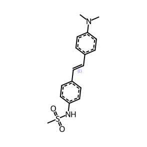 CN(C)c1ccc(/C=C/c2ccc(NS(C)(=O)=O)cc2)cc1